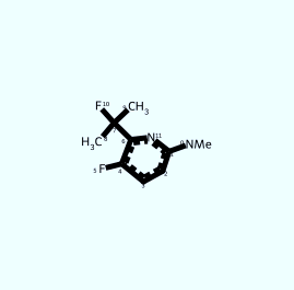 CNc1ccc(F)c(C(C)(C)F)n1